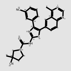 Cc1ncnc2ccc(-c3sc(NC(=O)N4CCC(C)(C#N)C4)nc3-c3cccc(C#N)c3)cc12